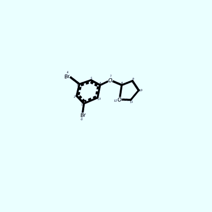 Brc1cc(Br)cc(OC2CCCO2)c1